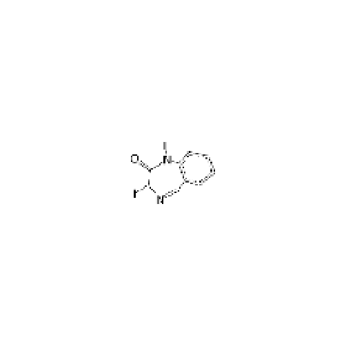 O=C1C(I)N=Cc2ccccc2N1I